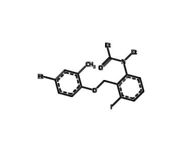 CCC(=O)N(CC)c1cccc(I)c1COc1ccc(CC)cc1C